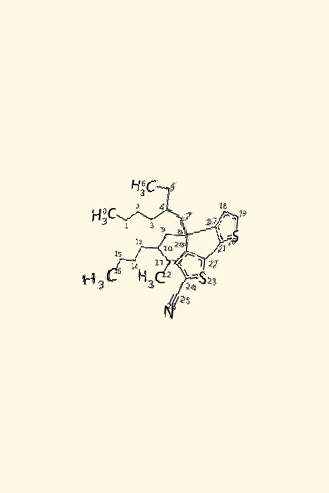 CCCCC(CC)CC1(CC(CC)CCCC)c2ccsc2-c2sc(C#N)cc21